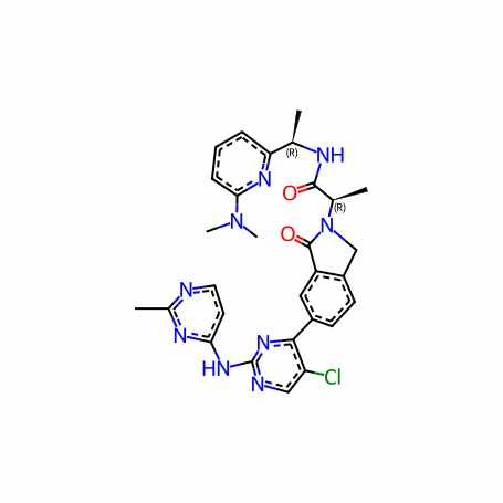 Cc1nccc(Nc2ncc(Cl)c(-c3ccc4c(c3)C(=O)N([C@H](C)C(=O)N[C@H](C)c3cccc(N(C)C)n3)C4)n2)n1